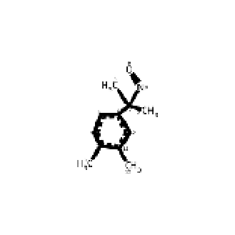 Cc1ccc(C(C)(C)N=O)cc1C